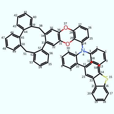 c1ccc(N(c2ccccc2-c2ccc3sc4ccccc4c3c2)c2cccc3c2Oc2cc4c(cc2O3)Cc2ccccc2-c2ccccc2Cc2ccccc2-4)cc1